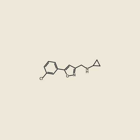 Clc1cccc(-c2cc(CNC3CC3)no2)c1